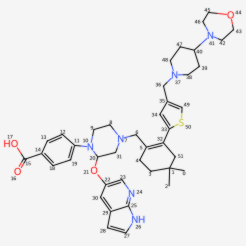 CC1(C)CCC(CN2CCN(c3ccc(C(=O)O)cc3)C(Oc3cnc4[nH]ccc4c3)C2)=C(c2cc(CN3CCC(N4CCOCC4)CC3)cs2)C1